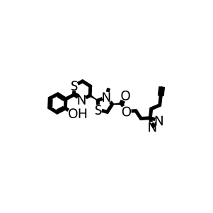 C#CCCC1(CCOC(=O)[C@H]2CS[C@@H](C3CCSC(c4ccccc4O)=N3)N2C)N=N1